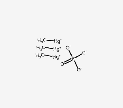 O=P([O-])([O-])[O-].[CH3][Hg+].[CH3][Hg+].[CH3][Hg+]